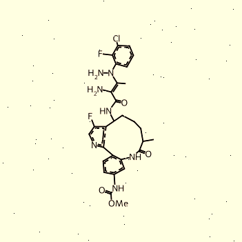 COC(=O)Nc1ccc2c(c1)NC(=O)C(C)CCCC(NC(=O)/C(N)=C(\C)N(N)c1cccc(Cl)c1F)c1cc-2ncc1F